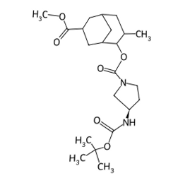 COC(=O)C1CC2CC(C)C(OC(=O)N3CC[C@@H](NC(=O)OC(C)(C)C)C3)C(C2)C1